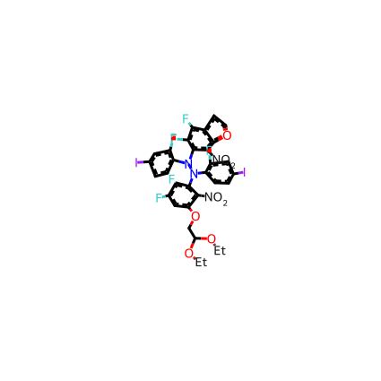 CCOC(COc1cc(F)c(F)c(N(c2ccc(I)cc2F)N(c2ccc(I)cc2F)c2c(F)c(F)c3ccoc3c2[N+](=O)[O-])c1[N+](=O)[O-])OCC